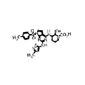 Cc1ccc(S(=O)(=O)n2ccc3c(NC4CCCN(C(=O)O)C4C(C)(C)C)nc(Nc4cc(C)ns4)nc32)cc1